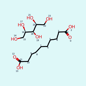 O=C(O)CCCCCCCCC(=O)O.OC[C@@H](O)[C@H](O)[C@@H](O)CO